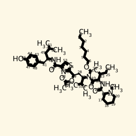 CCCCCCCOCN(C(=O)[C@@H](NC(=O)[C@H]1CCCCN1C)C(C)CC)[C@H](C[C@@H](OC(C)=O)c1nc(C(=O)N[C@@H](Cc2ccc(O)cc2)CC(C)C)cs1)C(C)C